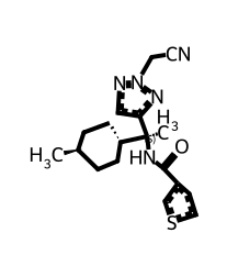 C[C@@](NC(=O)c1ccsc1)(c1cnn(CC#N)n1)[C@H]1CC[C@H](C)CC1